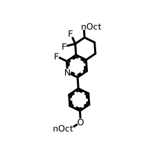 CCCCCCCCOc1ccc(-c2cc3c(c(F)n2)C(F)(F)C(CCCCCCCC)CC3)cc1